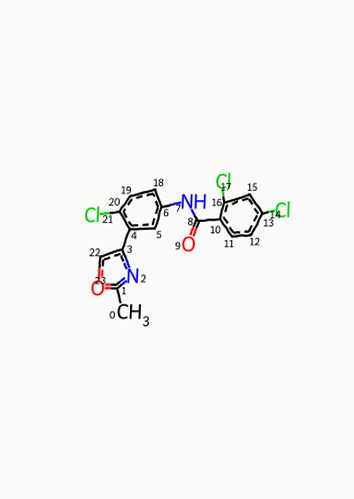 Cc1nc(-c2cc(NC(=O)c3ccc(Cl)cc3Cl)ccc2Cl)co1